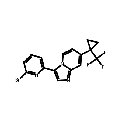 FC(F)(F)C1(c2ccn3c(-c4cccc(Br)n4)cnc3c2)CC1